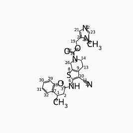 CC(CC(=O)Nc1sc2c(c1C#N)CCN(C(=O)OCc1cncn1C)C2)c1ccccc1